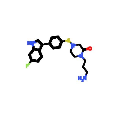 NCCCN1CCN(Sc2ccc(-c3c[nH]c4cc(F)ccc34)cc2)CC1=O